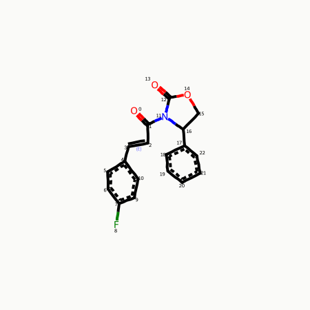 O=C(/C=C/c1ccc(F)cc1)N1C(=O)OCC1c1ccccc1